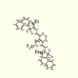 CCN1/C(=C/C=C2\CCCC(/C=C/C3=[N+](CC)c4ccc5ccccc5c4C3(C)C)=C2SCC(F)(F)F)C(C)(C)c2c1ccc1ccccc21